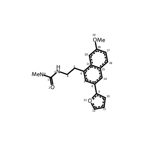 CNC(=O)NCCc1cc(-c2ccco2)cc2ccc(OC)cc12